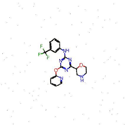 FC(F)(F)c1cccc(Nc2nc(Oc3ccccn3)nc(C3CNCCO3)n2)c1